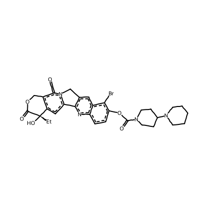 CC[C@@]1(O)C(=O)OCc2c1cc1n(c2=O)Cc2cc3c(Br)c(OC(=O)N4CCC(N5CCCCC5)CC4)ccc3nc2-1